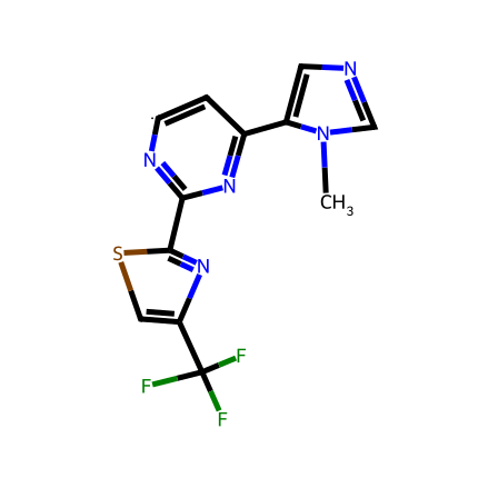 Cn1cncc1-c1c[c]nc(-c2nc(C(F)(F)F)cs2)n1